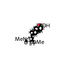 CNC(=O)O[C@H](C(C)C)C(C[C@@H](C)[C@H]1CC[C@@]2(C)C3CC[C@H]4C(C)(C)C(O)CCC45CC35CCC12C)OC